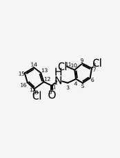 O=C(NCc1ccc(Cl)cc1Cl)c1ccccc1Cl